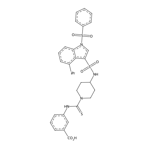 CC(C)c1cccc2c1c(S(=O)(=O)NC1CCN(C(=S)Nc3cccc(C(=O)O)c3)CC1)cn2S(=O)(=O)c1ccccc1